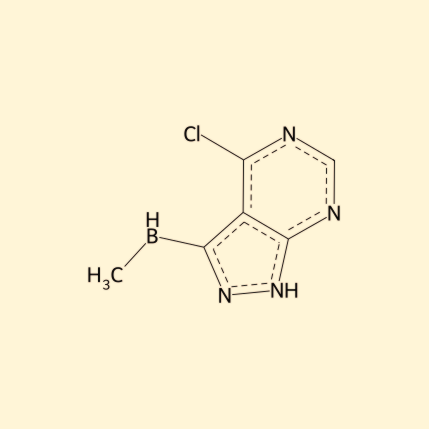 CBc1n[nH]c2ncnc(Cl)c12